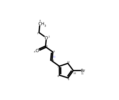 CCOC(=O)/C=C/C1=CC=C(Br)C1